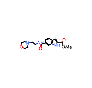 COC(=O)c1cc2ccc(C(=O)NCCN3CCOCC3)cc2[nH]1